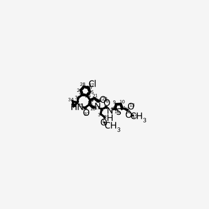 COCCC(C(=O)Nc1ccc(C(=O)OC)s1)n1cc2c(cc1=O)-c1cc(Cl)ccc1CC1(CC1)NC2=O